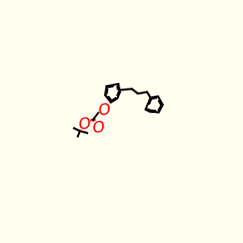 CC(C)(C)OC(=O)COc1cccc(CCCc2ccccc2)c1